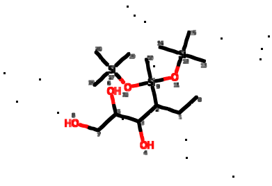 CCC(C(O)C(O)CO)[Si](C)(O[Si](C)(C)C)O[Si](C)(C)C